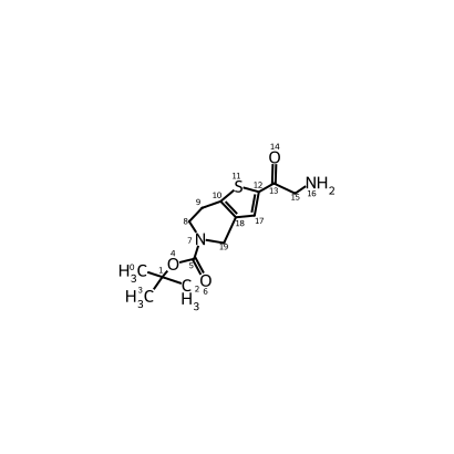 CC(C)(C)OC(=O)N1CCc2sc(C(=O)CN)cc2C1